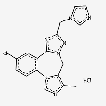 Cc1ncn2c1Cn1nc(Cn3ccnc3)nc1-c1cc(Cl)ccc1-2.Cl